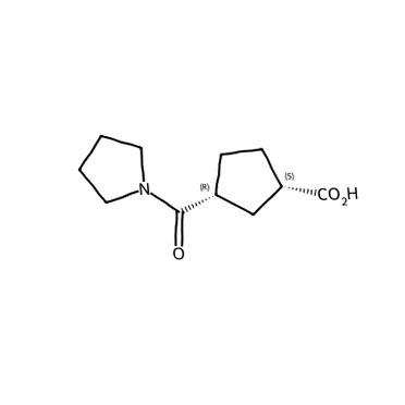 O=C(O)[C@H]1CC[C@@H](C(=O)N2CCCC2)C1